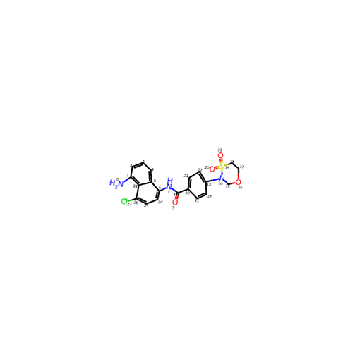 Nc1cccc2c(NC(=O)c3ccc(N4COCCS4(=O)=O)cc3)ccc(Cl)c12